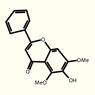 COc1cc2oc(-c3ccccc3)cc(=O)c2c(OC)c1O